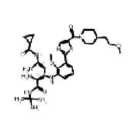 BC(B)(B)NC(=O)/C(N)=C(/C=C(\N)NC(=O)C1CC1)Nc1cccc(-c2ncc(C(=O)N3CCC(CCOC)CC3)s2)c1OC